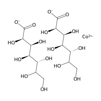 O=C([O-])[C@H](O)[C@@H](O)[C@H](O)[C@H](O)C(O)CO.O=C([O-])[C@H](O)[C@@H](O)[C@H](O)[C@H](O)C(O)CO.[Co+2]